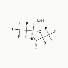 O=C(O)C(F)(OC(F)(F)C(F)(F)C(F)(F)F)C(F)(F)F.[NaH]